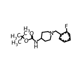 CC(C)(C)OC(=O)NC1CCN(Cc2ccccc2F)CC1